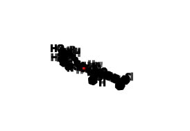 Cc1ncsc1-c1ccc([C@H](C)NC(=O)[C@@H]2C[C@@H](O)CN2C(=O)[C@@H](NC(=O)CCCCCC(=O)N2C[C@@H]3C[C@H]2CN3CC[C@H](CSc2ccccc2)Nc2ccc(S(=O)(=O)NC(=O)c3ccc(N4CCN(CC5=C(c6ccc(Cl)cc6)CCCCC5)CC4)cc3)cc2S(=O)(=O)C(F)(F)F)C(C)(C)C)cc1